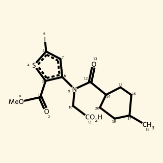 COC(=O)c1sc(I)cc1N(CC(=O)O)C(=O)C1CCC(C)CC1